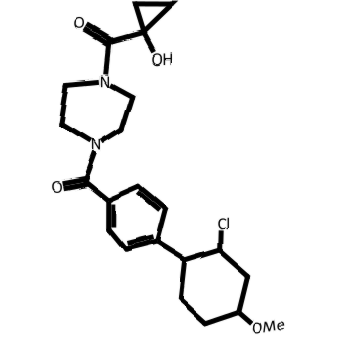 COC1CCC(c2ccc(C(=O)N3CCN(C(=O)C4(O)CC4)CC3)cc2)C(Cl)C1